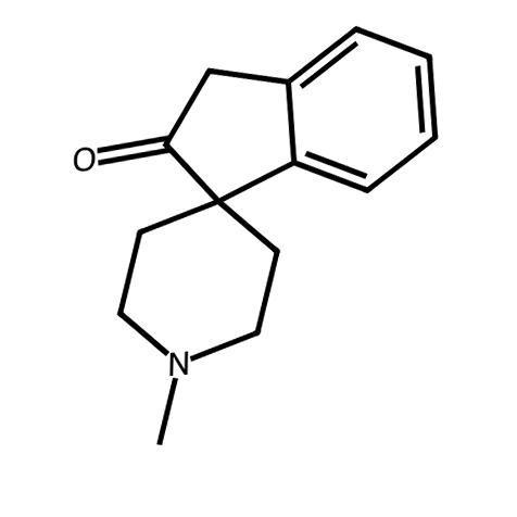 CN1CCC2(CC1)C(=O)Cc1ccccc12